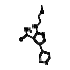 COCCNc1ncc(-c2ccncc2)cc1C(N)=O